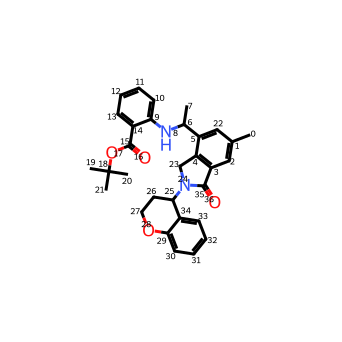 Cc1cc2c(c(C(C)Nc3ccccc3C(=O)OC(C)(C)C)c1)CN(C1CCOc3ccccc31)C2=O